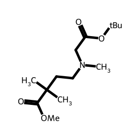 COC(=O)C(C)(C)CCN(C)CC(=O)OC(C)(C)C